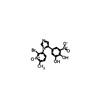 Cc1ccc(-n2cncc2-c2cc(O)c(O)c([N+](=O)[O-])c2)c(Br)[n+]1[O-]